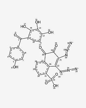 O=C(c1ccc(O)cc1)c1ccc(O)c(O)c1O.[N-]=[N+]=NC1=C(N=[N+]=[N-])c2c(cccc2S(=O)(=O)O)C(=O)C1=O